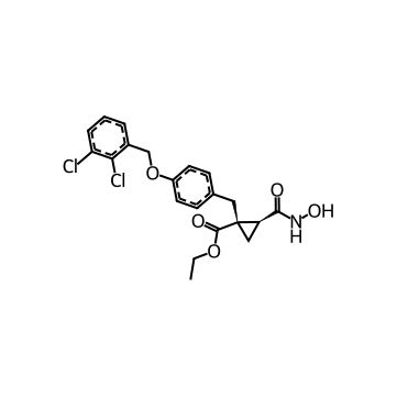 CCOC(=O)[C@@]1(Cc2ccc(OCc3cccc(Cl)c3Cl)cc2)C[C@@H]1C(=O)NO